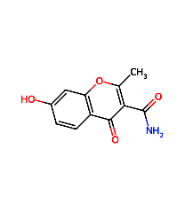 Cc1oc2cc(O)ccc2c(=O)c1C(N)=O